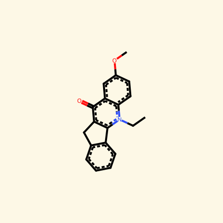 CCn1c2c(c(=O)c3cc(OC)ccc31)Cc1ccccc1-2